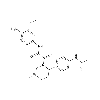 CCc1cc(NC(=O)C(=O)N2C[C@@H](C)CCC2c2ccc(NC(C)=O)cc2)cnc1N